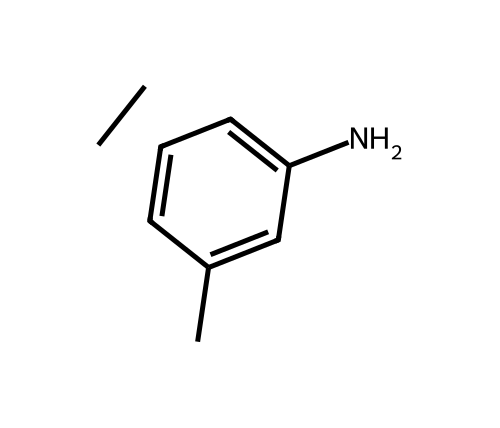 CC.Cc1cccc(N)c1